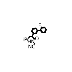 CC(C)CC(C(=O)NCC#N)c1cccc(-c2ccccc2F)c1